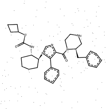 O=C(N[C@H]1CCCC[C@@H]1n1cnc(C(=O)N2CCNC[C@H]2Cc2ccccc2)c1-c1ccccc1)OC1CCC1